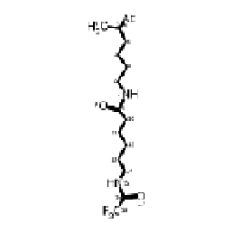 CC(=O)C(C)CCCCNC(=O)CCCCCNC(=O)C(F)(F)F